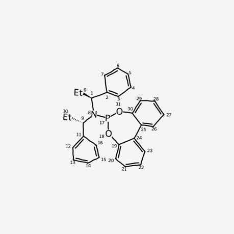 CC[C@@H](c1ccccc1)N([C@@H](CC)c1ccccc1)p1oc2ccccc2c2ccccc2o1